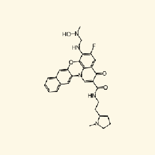 CN(O)CNc1c(F)cc2c(=O)c(C(=O)NCCC3CCCN3C)cn3c2c1Oc1cc2ccccc2cc1-3